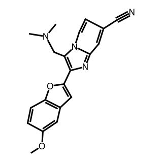 COc1ccc2oc(-c3nc4cc(C#N)ccn4c3CN(C)C)cc2c1